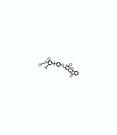 CC(C)(c1ccc(OCc2cc(CN3C(=O)c4ccccc4C3=O)nc(Cl)n2)cc1)c1cc(Cl)c(OCCCl)c(C#N)c1